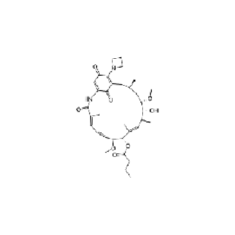 CCCC(=O)O[C@H]1/C(C)=C/[C@H](C)[C@@H](O)[C@@H](OC)C[C@H](C)CC2=C(N3CCC3)C(=O)C=C(NC(=O)/C(C)=C/C=C\[C@@H]1OC)C2=O